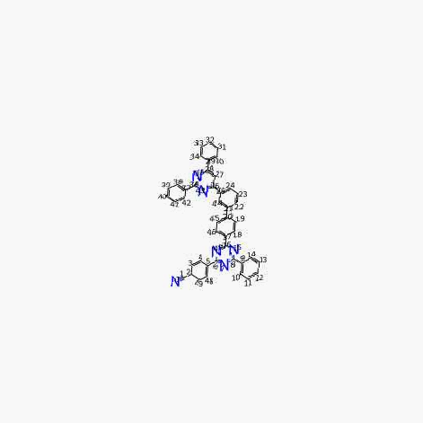 N#CC1C=CC(c2nc(-c3ccccc3)nc(-c3ccc(-c4cccc(-c5cc(-c6ccccc6)nc(-c6ccccc6)n5)c4)cc3)n2)=CC1